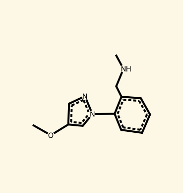 CNCc1ccccc1-n1cc(OC)cn1